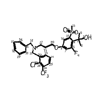 CC(C)(O)c1c(F)cc(OCCCN(Cc2ccccc2)Cc2cccc(C(F)(F)F)c2Cl)cc1S(C)(=O)=O